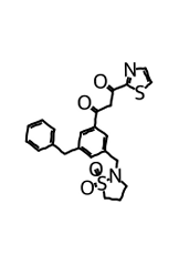 O=C(CC(=O)c1nccs1)c1cc(Cc2ccccc2)cc(CN2CCCS2(=O)=O)c1